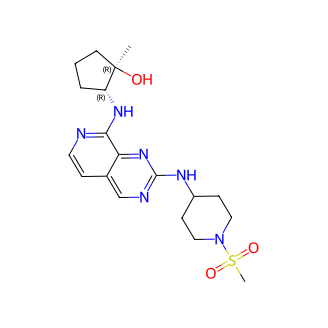 C[C@@]1(O)CCC[C@H]1Nc1nccc2cnc(NC3CCN(S(C)(=O)=O)CC3)nc12